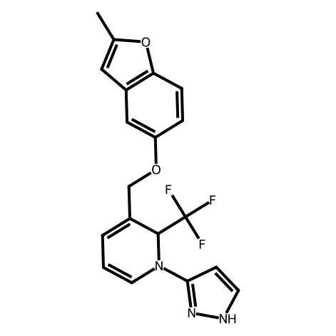 Cc1cc2cc(OCC3=CC=CN(c4cc[nH]n4)C3C(F)(F)F)ccc2o1